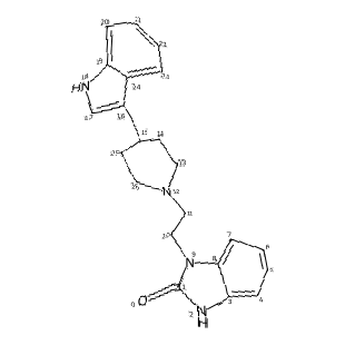 O=c1[nH]c2ccccc2n1CCN1CCC(c2c[nH]c3ccccc23)CC1